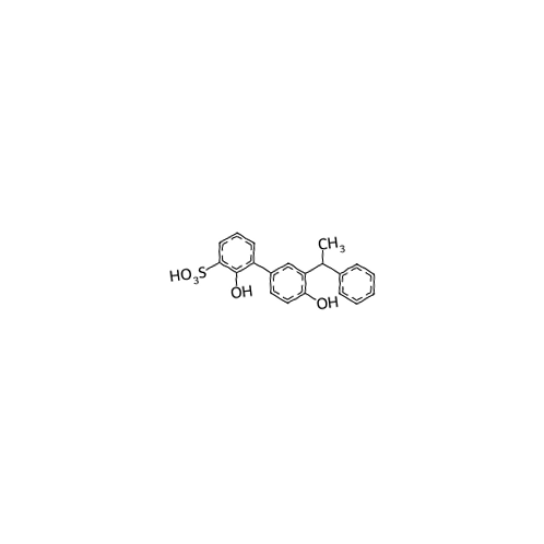 CC(c1ccccc1)c1cc(-c2cccc(S(=O)(=O)O)c2O)ccc1O